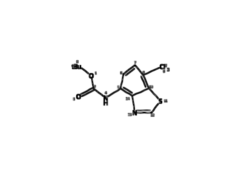 CC(C)(C)OC(=O)Nc1ccc(C(F)(F)F)c2scnc12